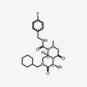 CC(C)[C@H]1C(=O)N(CC2CCCCC2)C[C@H]2N1C(=O)CN(C)N2C(=O)NCc1ccc(F)cc1